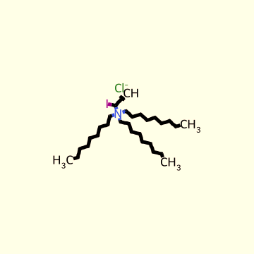 C#CC(I)[N+](CCCCCCCCC)(CCCCCCCCC)CCCCCCCCC.[Cl-]